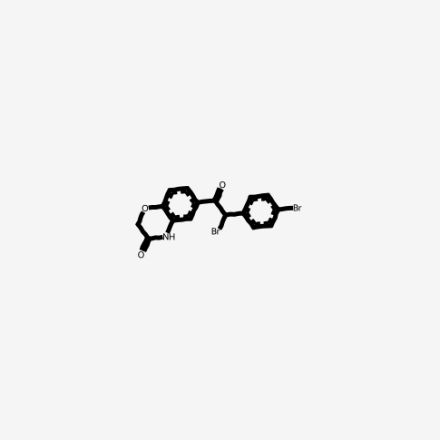 O=C1COc2ccc(C(=O)C(Br)c3ccc(Br)cc3)cc2N1